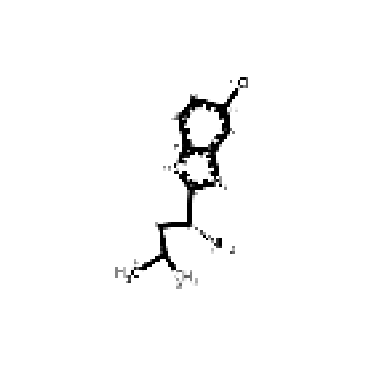 CC(C)C[C@@H](N)c1nc2cc(Cl)ccc2s1